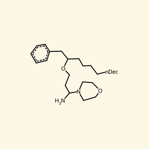 CCCCCCCCCCCCCCC(Cc1ccccc1)OCCC(N)N1CCOCC1